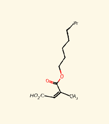 C/C(=C/C(=O)O)C(=O)OCCCCCC(C)C